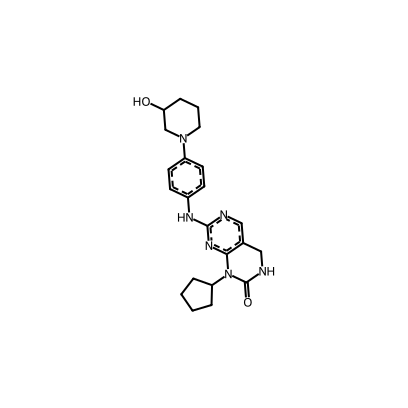 O=C1NCc2cnc(Nc3ccc(N4CCCC(O)C4)cc3)nc2N1C1CCCC1